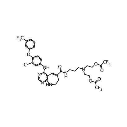 O=C(NCCCN(CCOC(=O)C(F)(F)F)CCOC(=O)C(F)(F)F)C1=Cc2c(ncnc2Nc2ccc(Oc3cccc(C(F)(F)F)c3)c(Cl)c2)NCC1